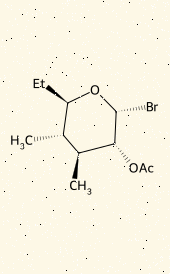 CC[C@H]1O[C@H](Br)[C@H](OC(C)=O)[C@@H](C)[C@@H]1C